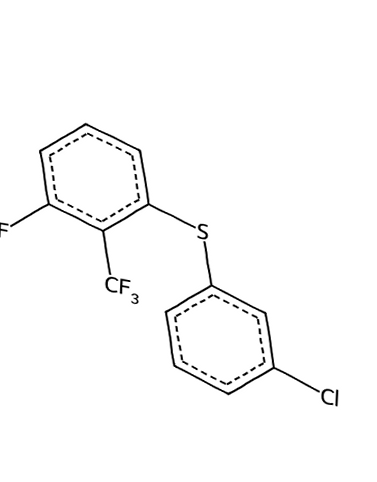 Fc1cccc(Sc2cccc(Cl)c2)c1C(F)(F)F